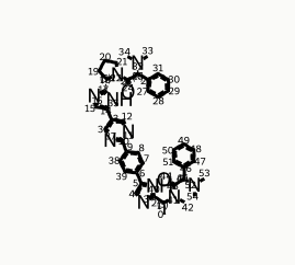 C[C@@H](c1ncc(-c2ccc(-c3ncc(-c4cnc([C@@H]5CCCN5C(=O)[C@@H](c5ccccc5)N(C)C)[nH]4)cn3)cc2)[nH]1)N(C)C(=O)[C@@H](c1ccccc1)N(C)C